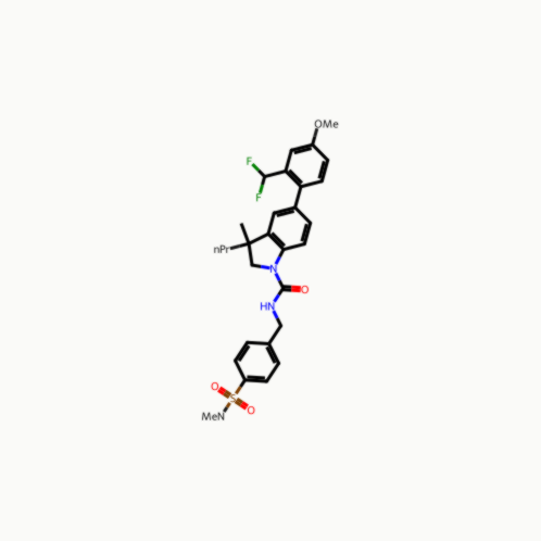 CCCC1(C)CN(C(=O)NCc2ccc(S(=O)(=O)NC)cc2)c2ccc(-c3ccc(OC)cc3C(F)F)cc21